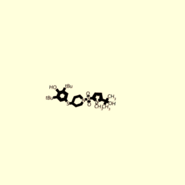 Cn1c(C(C)(C)O)ccc1S(=O)(=O)N1CCC(Sc2cc(C(C)(C)C)c(O)c(C(C)(C)C)c2)CC1